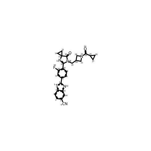 N#Cc1ccc2sc(-c3ccc(C4=NC5(CC5)C(=O)N4CC4CN(C(=O)C5CC5)C4)c(F)c3)nc2c1